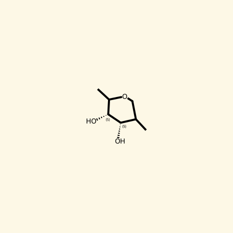 CC1OCC(C)[C@H](O)[C@@H]1O